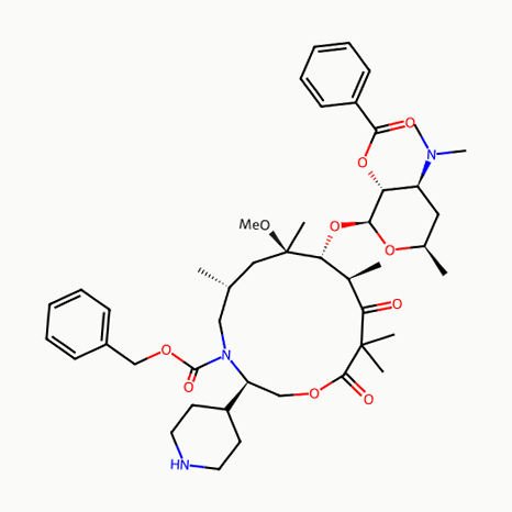 CO[C@]1(C)C[C@@H](C)CN(C(=O)OCc2ccccc2)[C@H](C2CCNCC2)COC(=O)C(C)(C)C(=O)[C@H](C)[C@H]1O[C@@H]1O[C@H](C)C[C@H](N(C)C)[C@H]1OC(=O)c1ccccc1